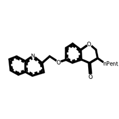 CCCCCC1COc2ccc(OCc3ccc4ccccc4n3)cc2C1=O